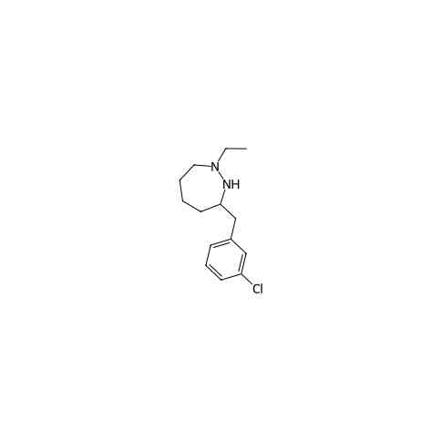 CCN1CCCCC(Cc2cccc(Cl)c2)N1